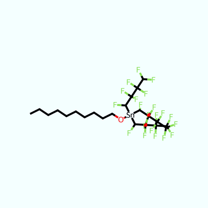 CCCCCCCCCC[O][Sn]([CH](F)C(F)(F)C(F)(F)C(F)F)([CH](F)C(F)(F)C(F)(F)C(F)F)[CH](F)C(F)(F)C(F)(F)C(F)F